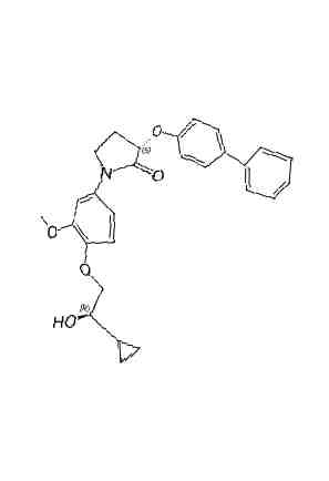 COc1cc(N2CC[C@H](Oc3ccc(-c4ccccc4)cc3)C2=O)ccc1OC[C@H](O)C1CC1